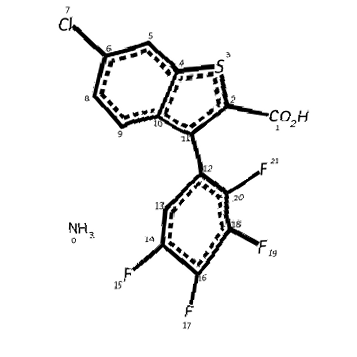 N.O=C(O)c1sc2cc(Cl)ccc2c1-c1cc(F)c(F)c(F)c1F